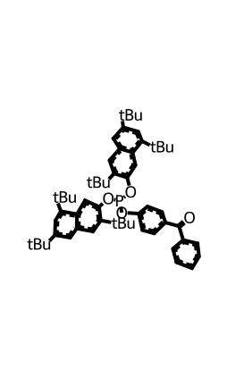 CC(C)(C)c1cc(C(C)(C)C)c2cc(OP(Oc3ccc(C(=O)c4ccccc4)cc3)Oc3cc4c(C(C)(C)C)cc(C(C)(C)C)cc4cc3C(C)(C)C)c(C(C)(C)C)cc2c1